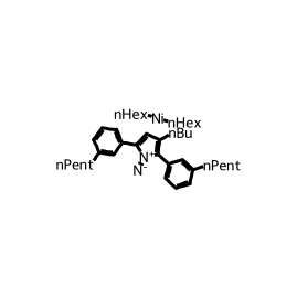 CCCCC[CH2][Ni][CH2]CCCCC.CCCCCc1cccc(C2=CC(CCCC)=C(c3cccc(CCCCC)c3)[N+]2=[N-])c1